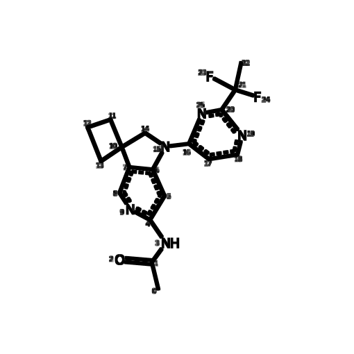 CC(=O)Nc1cc2c(cn1)C1(CCC1)CN2c1ccnc(C(C)(F)F)n1